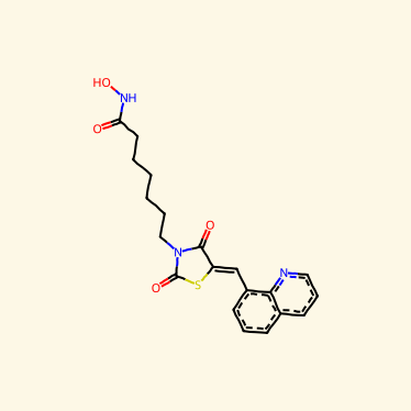 O=C(CCCCCCN1C(=O)SC(=Cc2cccc3cccnc23)C1=O)NO